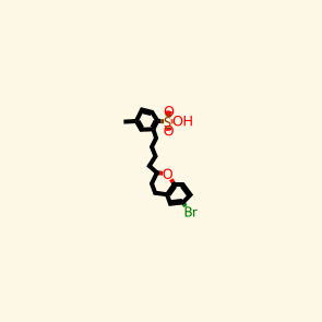 Cc1ccc(S(=O)(=O)O)c(CCCCC2CCc3cc(Br)ccc3O2)c1